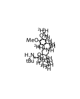 [2H]c1c(OC)c(OC([2H])([2H])[2H])c([2H])c2c1C1([2H])CC([2H])(OC(=O)[C@@H](N)C(C)(C)C)C(C([2H])([2H])C([2H])(C)C([2H])([2H])[2H])CN1C([2H])([2H])C2([2H])[2H]